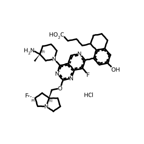 C[C@@]1(N)CCCN(c2nc(OC[C@@]34CCCN3C[C@H](F)C4)nc3c(F)c(-c4cc(O)cc5c4C(CCCC(=O)O)CCC5)ncc23)C1.Cl